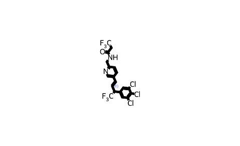 O=C(CC(F)(F)F)NCc1ccc(/C=C/C(c2cc(Cl)c(Cl)c(Cl)c2)C(F)(F)F)cn1